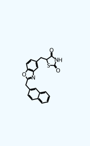 O=C1NC(=O)C(Cc2ccc3oc(Cc4ccc5ccccc5c4)nc3c2)S1